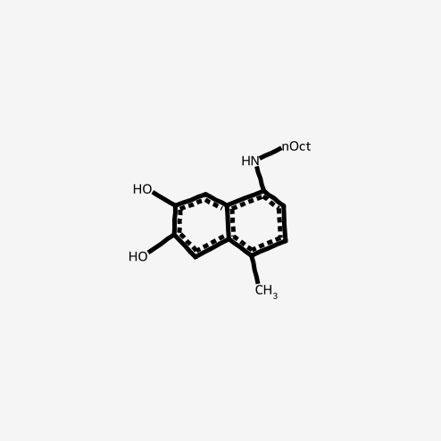 CCCCCCCCNc1ccc(C)c2cc(O)c(O)cc12